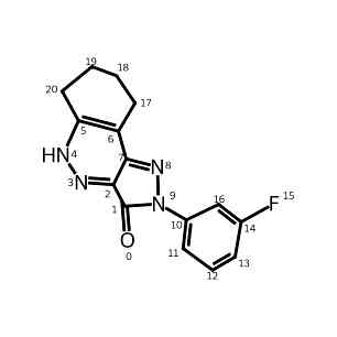 O=c1c2n[nH]c3c(c-2nn1-c1cccc(F)c1)CCCC3